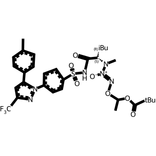 CC[C@@H](C)[C@@H](C(=O)NS(=O)(=O)c1ccc(-n2nc(C(F)(F)F)cc2-c2ccc(C)cc2)cc1)N(C)[N+]([O-])=NOC(C)OC(=O)C(C)(C)C